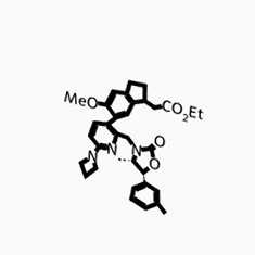 CCOC(=O)CC1CCc2cc(OC)c(-c3ccc(N4CCC4)nc3CN3C(=O)O[C@H](c4cccc(C)c4)[C@@H]3C)cc21